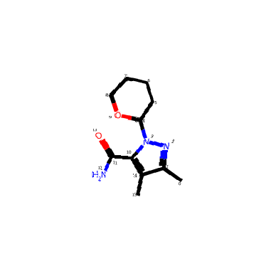 Cc1nn(C2CCCCO2)c(C(N)=O)c1C